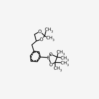 CC1(C)OCC(Cc2cccc(B3OC(C)(C)C(C)(C)O3)c2)O1